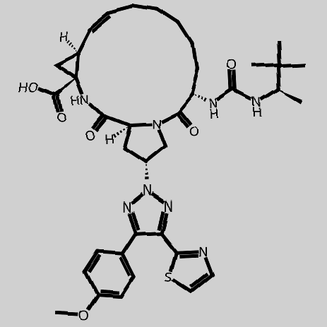 COc1ccc(-c2nn([C@@H]3C[C@H]4C(=O)N[C@]5(C(=O)O)C[C@H]5/C=C\CCCCC[C@H](NC(=O)N[C@H](C)C(C)(C)C)C(=O)N4C3)nc2-c2nccs2)cc1